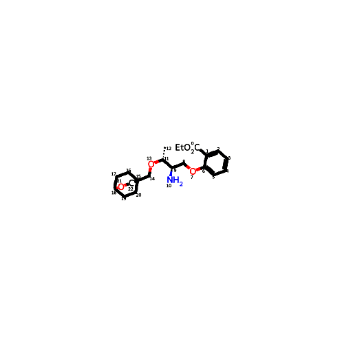 CCOC(=O)c1ccccc1OC[C@@H](N)[C@@H](C)OCC12CCC(CC1)OC2